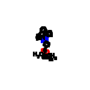 CC1(C)OB(c2ccc3c(c2)nc2n3-c3ccccc3C23c2ccccc2-c2ccccc23)OC1(C)C